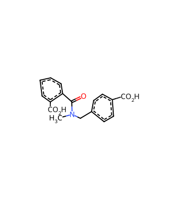 CN(Cc1ccc(C(=O)O)cc1)C(=O)c1ccccc1C(=O)O